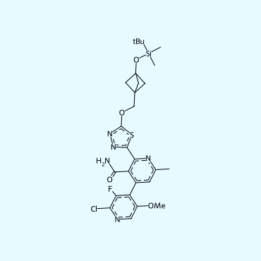 COc1cnc(Cl)c(F)c1-c1cc(C)nc(-c2nnc(OCC34CC(O[Si](C)(C)C(C)(C)C)(C3)C4)s2)c1C(N)=O